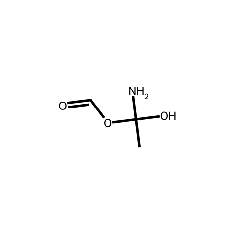 CC(N)(O)OC=O